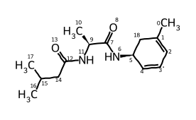 CC1=C[C]=C[C@@H](NC(=O)[C@H](C)NC(=O)CC(C)C)C1